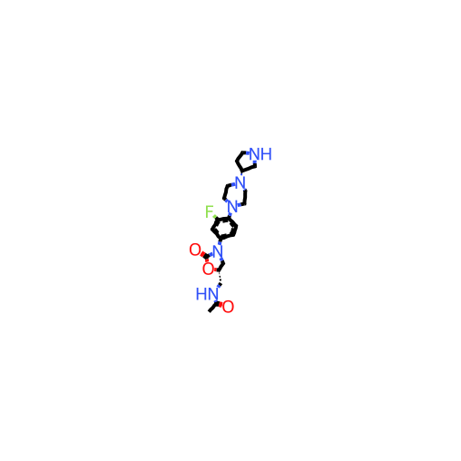 CC(=O)NC[C@H]1CN(c2ccc(N3CCN([C@@H]4CCNC4)CC3)c(F)c2)C(=O)O1